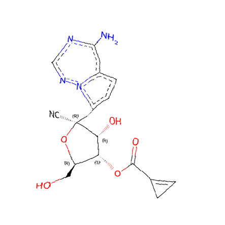 N#C[C@@]1(c2ccc3c(N)ncnn23)O[C@H](CO)[C@@H](OC(=O)C2=CC2)[C@H]1O